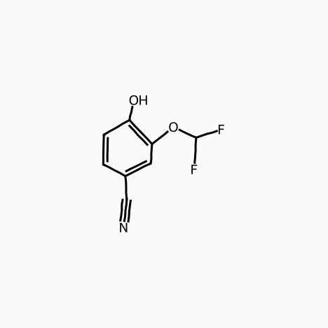 N#Cc1ccc(O)c(OC(F)F)c1